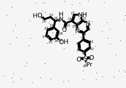 CC(C)S(=O)(=O)c1ccc(-c2cnc3[nH]cc(C(=O)NC(CCO)c4cccc(O)c4)c3n2)cc1